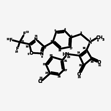 CN(Cc1ccc(-c2noc(C(F)(F)F)n2)cc1)c1c(Nc2ccc(Cl)cc2)c(=O)c1=O